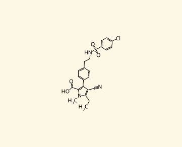 CCc1c(C#N)c(-c2ccc(CCNS(=O)(=O)c3ccc(Cl)cc3)cc2)c(C(=O)O)n1C